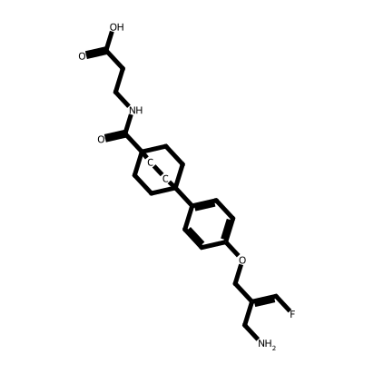 NCC(=CF)COc1ccc(C23CCC(C(=O)NCCC(=O)O)(CC2)CC3)cc1